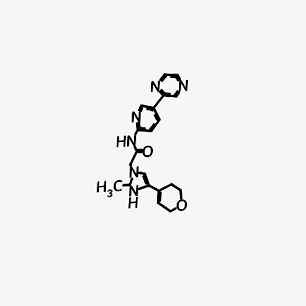 CC1NC(C2=CCOCC2)=CN1CC(=O)Nc1ccc(-c2cnccn2)cn1